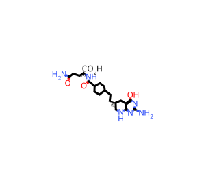 NC(=O)CC[C@H](NC(=O)C1CCC(CC[C@@H]2CNc3nc(N)nc(O)c3C2)CC1)C(=O)O